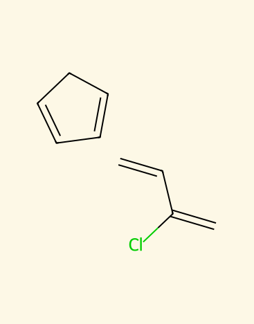 C1=CCC=C1.C=CC(=C)Cl